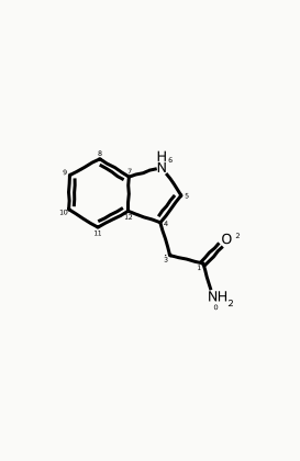 NC(=O)[CH]c1c[nH]c2ccccc12